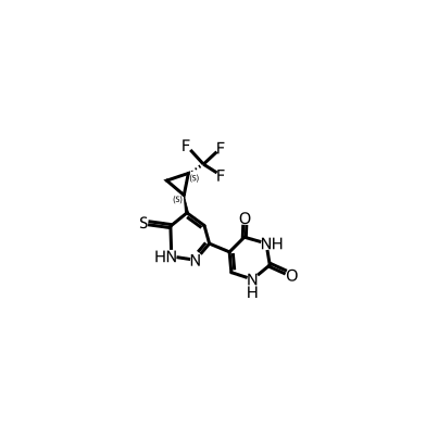 O=c1[nH]cc(-c2cc([C@H]3C[C@@H]3C(F)(F)F)c(=S)[nH]n2)c(=O)[nH]1